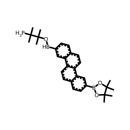 CC(C)(P)C(C)(C)OBc1ccc2ccc3c4cc(B5OC(C)(C)C(C)(C)O5)ccc4ccc3c2c1